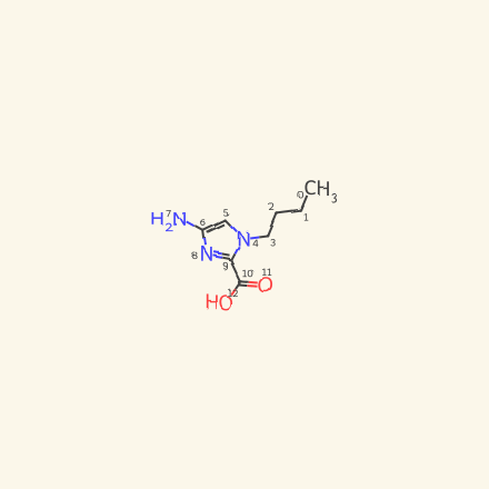 CCCCn1cc(N)nc1C(=O)O